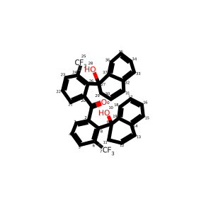 O=C(c1cccc(C(F)(F)F)c1C1(O)CC=Cc2ccccc21)c1cccc(C(F)(F)F)c1C1(O)CC=Cc2ccccc21